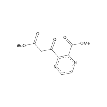 COC(=O)c1nccnc1C(=O)CC(=O)OCC(C)C